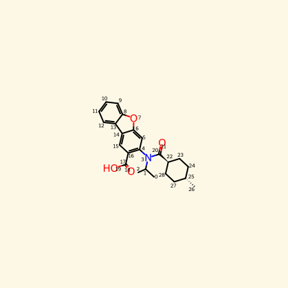 CC(C)N(c1cc2oc3ccccc3c2cc1C(=O)O)C(=O)[C@H]1CC[C@H](C)CC1